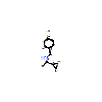 CC(NCc1ccc(F)cc1)C1CC1